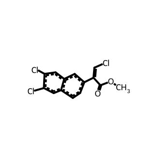 COC(=O)C(=CCl)c1ccc2cc(Cl)c(Cl)cc2c1